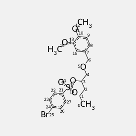 CCCC(COCc1ccc(OC)c(OC)c1)OS(=O)(=O)c1ccc(Br)cc1